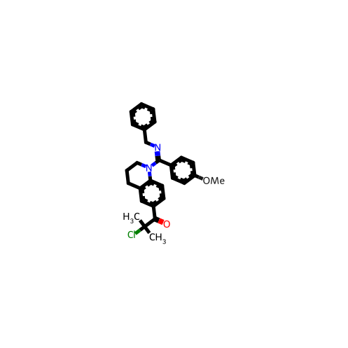 COc1ccc(/C(=N/Cc2ccccc2)N2CCCc3cc(C(=O)C(C)(C)Cl)ccc32)cc1